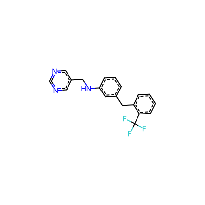 FC(F)(F)c1ccccc1Cc1cccc(NCc2cncnc2)c1